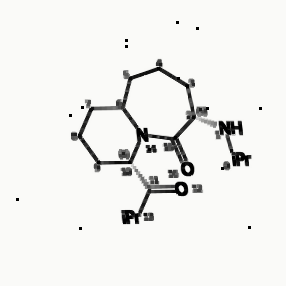 CC(C)N[C@H]1CCCC2CCC[C@@H](C(=O)C(C)C)N2C1=O